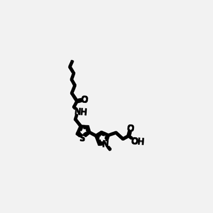 CCCCCCC(=O)CNCc1csc(-c2cc(CCC(=O)O)n(C)c2)c1